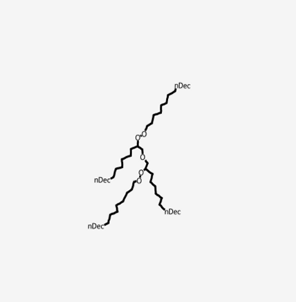 CCCCCCCCCCCCCCCCCCOOC(CCCCCCCCCCCCCCCC)COCC(CCCCCCCCCCCCCCCC)OOCCCCCCCCCCCCCCCCCC